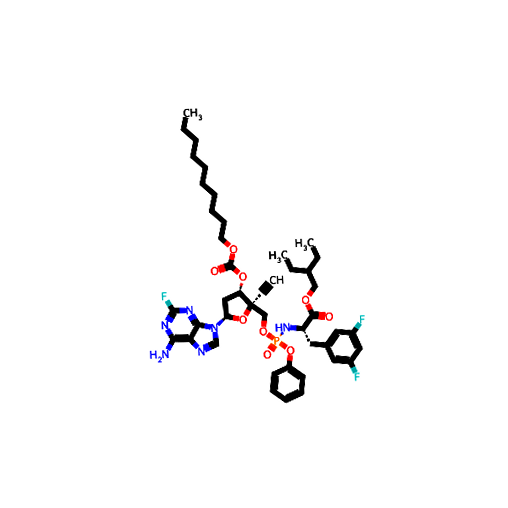 C#C[C@]1(CO[P@@](=O)(N[C@@H](Cc2cc(F)cc(F)c2)C(=O)OCC(CC)CC)Oc2ccccc2)O[C@@H](n2cnc3c(N)nc(F)nc32)C[C@@H]1OC(=O)OCCCCCCCCCC